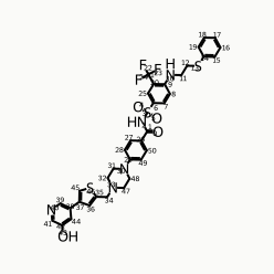 O=C(NS(=O)(=O)c1ccc(NCCSc2ccccc2)c(C(F)(F)F)c1)c1ccc(N2CCN(Cc3cc(-c4cncc(O)c4)cs3)CC2)cc1